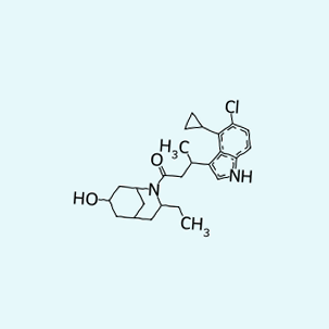 CCC1CC2CC(O)CC(C2)N1C(=O)CC(C)c1c[nH]c2ccc(Cl)c(C3CC3)c12